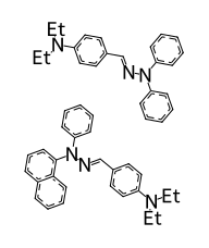 CCN(CC)c1ccc(/C=N/N(c2ccccc2)c2cccc3ccccc23)cc1.CCN(CC)c1ccc(/C=N/N(c2ccccc2)c2ccccc2)cc1